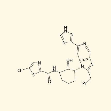 CC(C)Cc1nc2cnc(-c3nc[nH]n3)cc2n1[C@@H]1CCC[C@H](NC(=O)c2ncc(Cl)s2)[C@H]1O